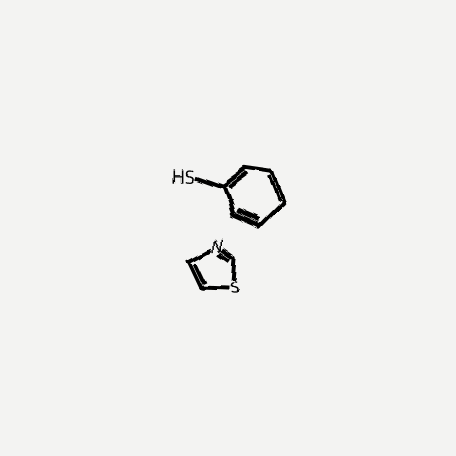 Sc1ccccc1.c1cscn1